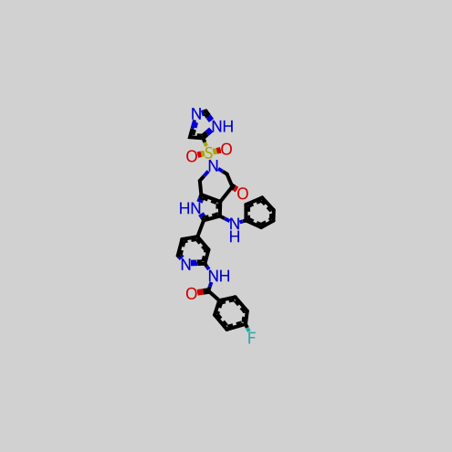 O=C(Nc1cc(-c2[nH]c3c(c2Nc2ccccc2)C(=O)CN(S(=O)(=O)c2cnc[nH]2)C3)ccn1)c1ccc(F)cc1